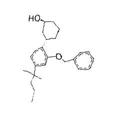 CCCC(C)(C)c1ccc([C@H]2CCC[C@H](O)C2)c(OCc2ccccc2)c1